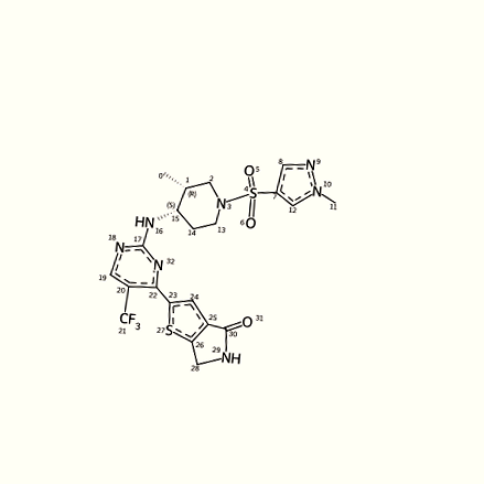 C[C@@H]1CN(S(=O)(=O)c2cnn(C)c2)CC[C@@H]1Nc1ncc(C(F)(F)F)c(-c2cc3c(s2)CNC3=O)n1